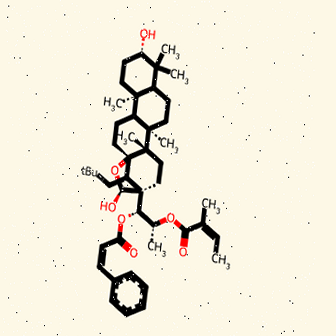 C/C=C(/C)C(=O)O[C@H](C)[C@H](OC(=O)/C=C\c1ccccc1)[C@@]12CC[C@]3(C)[C@@](CCC4[C@@]5(C)CC[C@H](O)C(C)(C)C5CC[C@]43C)(O[C@@H]1O)C2CC(C)(C)C